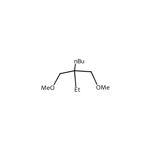 CCCCC(CC)(COC)COC